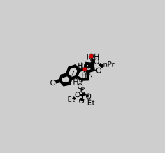 CCCC1O[C@@H]2C[C@H]3[C@@H]4CCC5=CC(=O)C=C[C@]5(C)[C@H]4[C@@H](OCP(=O)(OCC)OCC)C[C@]3(C)[C@]2([C@](C)(O)CO)O1